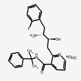 CC(C)(NC(=O)c1cccnc1C[C@H](O)[C@H](N)Cc1ccccc1F)c1ccccc1.Cl.Cl